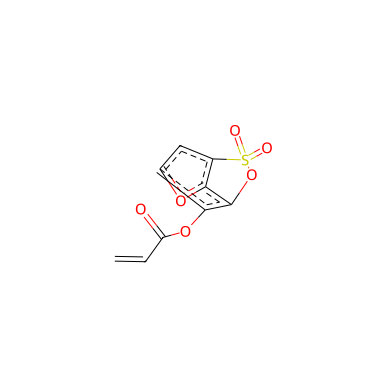 C=CC(=O)Oc1c2c3oc1cc3S(=O)(=O)O2